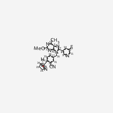 COc1nc(C)c2nc(-c3cncc(F)c3)n(Cc3ccc([C@@H]4CN5CCC4CC5)c(C#N)c3)c2n1